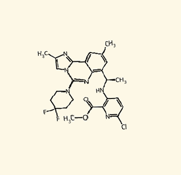 COC(=O)c1nc(Cl)ccc1N[C@H](C)c1cc(C)cc2c1nc(N1CCC(F)(F)CC1)n1cc(C)nc21